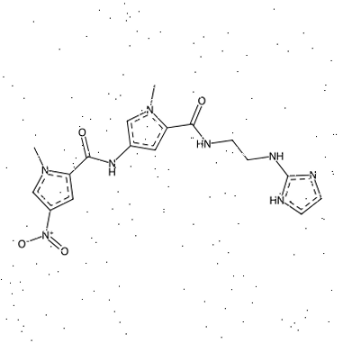 Cn1cc(NC(=O)c2cc([N+](=O)[O-])cn2C)cc1C(=O)NCCNc1ncc[nH]1